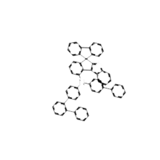 c1ccc(-c2ccc(N(c3ccc(-c4ccccc4-c4ccccc4)cc3)c3cccc4c3-c3c(sc5ccccc35)C43c4ccccc4-c4ccccc43)cc2)cc1